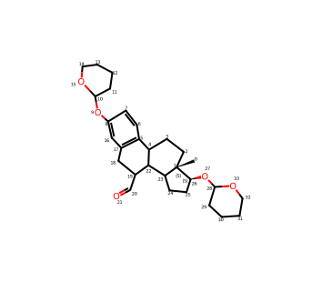 C[C@]12CCC3c4ccc(OC5CCCCO5)cc4CC(C=O)C3C1CC[C@@H]2OC1CCCCO1